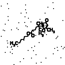 CCCCCCOC(=O)CCCC(C)(C)C1=CC(=O)C=C(C)C1=O